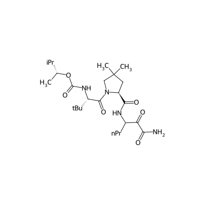 CCCC(NC(=O)[C@@H]1CC(C)(C)CN1C(=O)[C@@H](NC(=O)O[C@H](C)C(C)C)C(C)(C)C)C(=O)C(N)=O